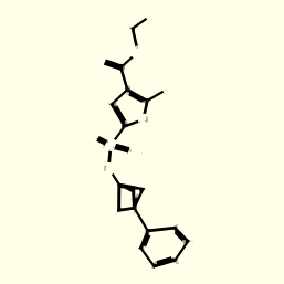 CCOC(=O)c1cc(S(=O)(=O)NC23CC(c4ccccc4)(C2)C3)[nH]c1C